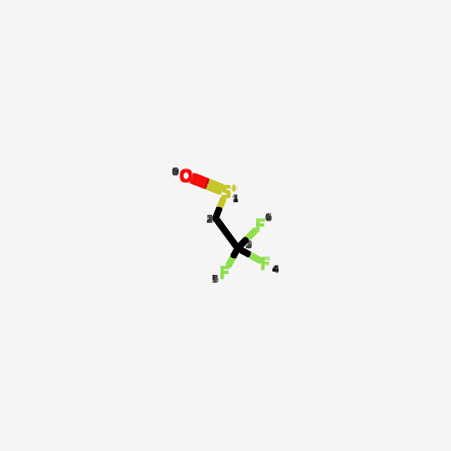 O=[S+]CC(F)(F)F